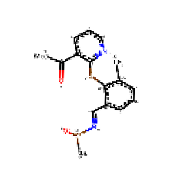 COC(=O)c1cccnc1Sc1c(C=N[S+]([O-])C(C)(C)C)cccc1C(F)(F)F